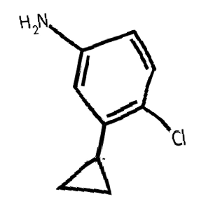 Nc1ccc(Cl)c([C]2CC2)c1